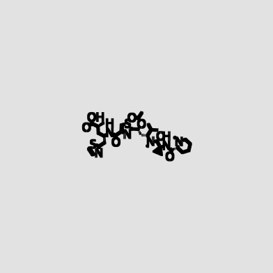 CC(=O)O[C@H](C[C@H](C(C)C)N(C)C(=O)C1(NC(=O)[C@H]2CCCCN2C)CC1)c1nc(C(=O)N[C@@H](Cc2nccs2)C[C@H](C)C(=O)O)cs1